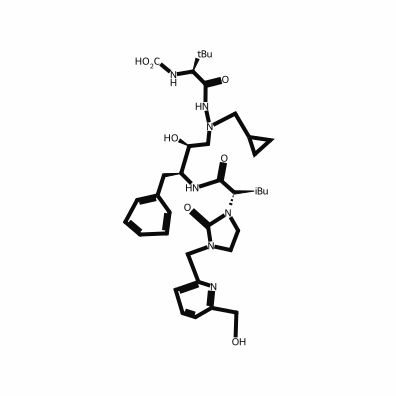 CC[C@H](C)[C@@H](C(=O)N[C@@H](Cc1ccccc1)[C@@H](O)CN(CC1CC1)NC(=O)[C@@H](NC(=O)O)C(C)(C)C)N1CCN(Cc2cccc(CO)n2)C1=O